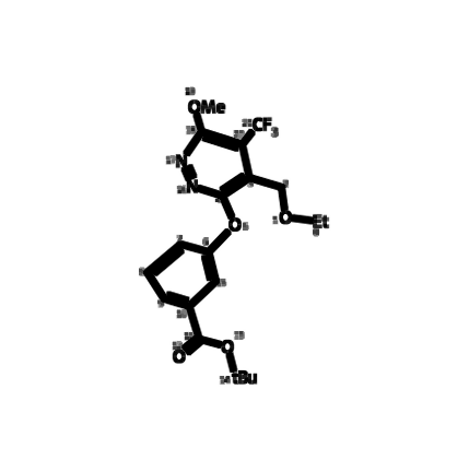 CCOCc1c(Oc2cccc(C(=O)OC(C)(C)C)c2)nnc(OC)c1C(F)(F)F